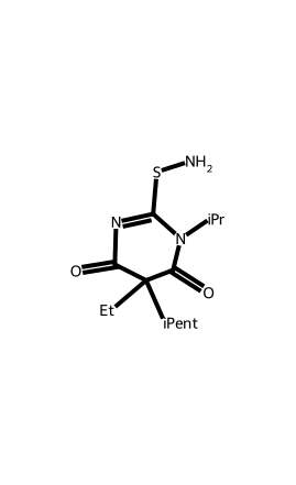 CCCC(C)C1(CC)C(=O)N=C(SN)N(C(C)C)C1=O